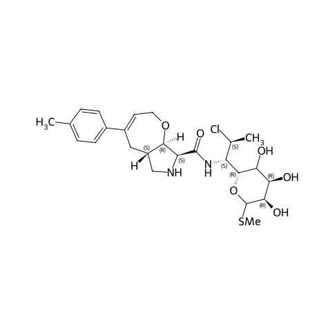 CSC1O[C@H]([C@H](NC(=O)[C@H]2NC[C@@H]3CC(c4ccc(C)cc4)=CCO[C@H]32)[C@H](C)Cl)C(O)[C@@H](O)[C@H]1O